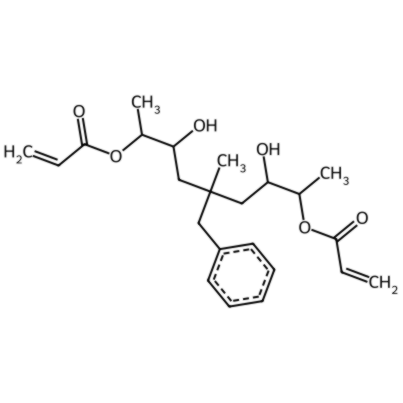 C=CC(=O)OC(C)C(O)CC(C)(Cc1ccccc1)CC(O)C(C)OC(=O)C=C